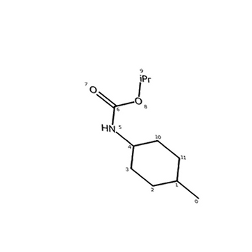 CC1CCC(NC(=O)OC(C)C)CC1